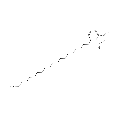 CCCCCCCCCCCCCCCCCCCCc1cccc2c1C(=O)OC2=O